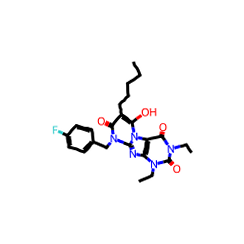 CCCCCc1c(O)n2c3c(=O)n(CC)c(=O)n(CC)c3nc2n(Cc2ccc(F)cc2)c1=O